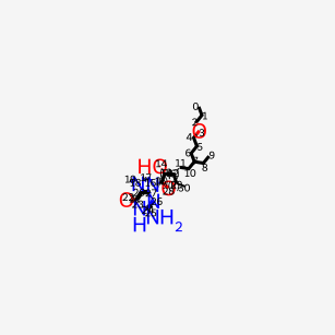 CCCOCCCC(CC)CC[C@H]1[C@@H](O)[C@H](n2c[n+](C)c3c(=O)[nH]c(N)nc32)O[C@@H]1C